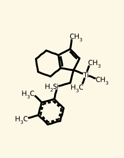 CC1=C[C](C[SiH2]c2cccc(C)c2C)([Ti]([CH3])([CH3])[CH3])C2=C1CCCC2